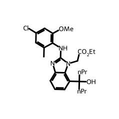 CCCC(O)(CCC)c1cccc2nc(Nc3c(C)cc(Cl)cc3OC)n(CC(=O)OCC)c12